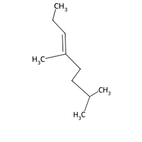 CC/C=C(\C)CCC(C)C